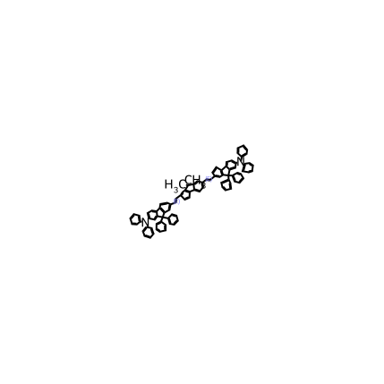 CC1(C)c2cc(/C=C/c3ccc4c(c3)C(c3ccccc3)(c3ccccc3)c3cc(N(c5ccccc5)c5ccccc5)ccc3-4)ccc2-c2ccc(/C=C/c3ccc4c(c3)C(c3ccccc3)(c3ccccc3)c3cc(N(c5ccccc5)c5ccccc5)ccc3-4)cc21